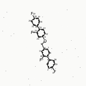 Fc1ccc(-c2ccc(COc3ccc(-c4ccc(F)cc4)c(F)c3)cc2F)cc1